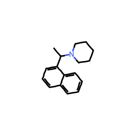 CC(c1cccc2ccccc12)N1CCCCC1